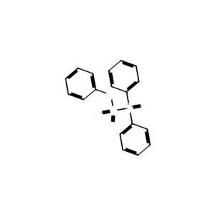 O=P(c1ccccc1)(c1ccccc1)S(=O)(=O)Oc1ccccc1